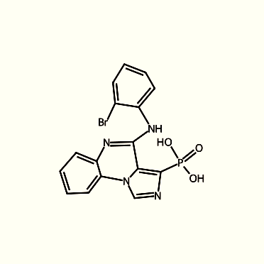 O=P(O)(O)c1ncn2c1c(Nc1ccccc1Br)nc1ccccc12